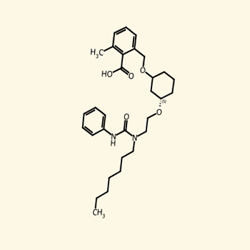 CCCCCCCN(CCO[C@H]1CCCC(OCc2cccc(C)c2C(=O)O)C1)C(=O)Nc1ccccc1